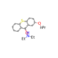 CCCOc1ccc2sc3ccccc3c(=O)c2c1.CCNCC